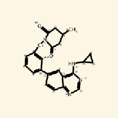 CC1CC(=O)N(Cc2cccc(-c3ccc4ncnc(NC5CC5)c4c3)c2)C(=O)C1